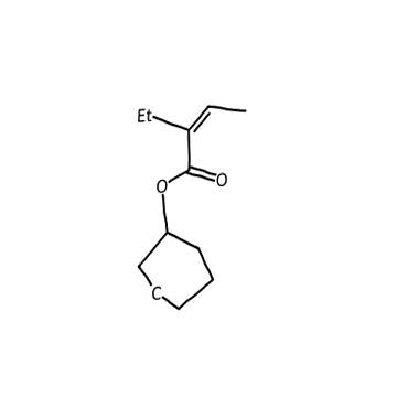 C/C=C(/CC)C(=O)OC1CCCCC1